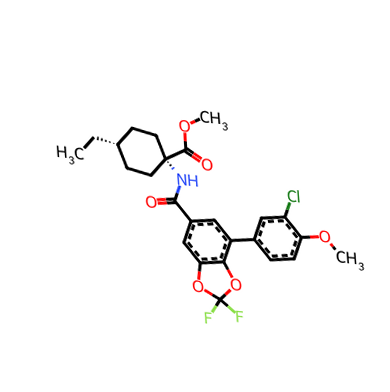 CC[C@H]1CC[C@](NC(=O)c2cc3c(c(-c4ccc(OC)c(Cl)c4)c2)OC(F)(F)O3)(C(=O)OC)CC1